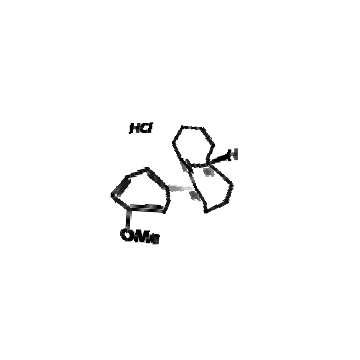 COc1cccc([C@H]2CCC[C@H]3CCCCN32)c1.Cl